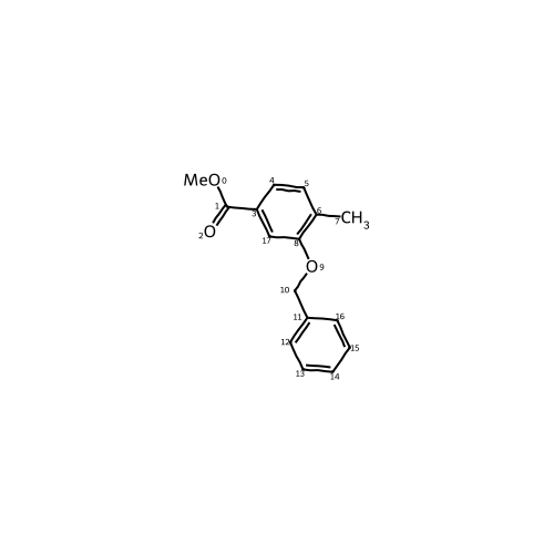 COC(=O)c1ccc(C)c(OCc2ccccc2)c1